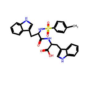 Cc1ccc(S(=O)(=O)NC(Cc2c[nH]c3ccccc23)C(=O)NC(Cc2c[nH]c3ccccc23)C(=O)O)cc1